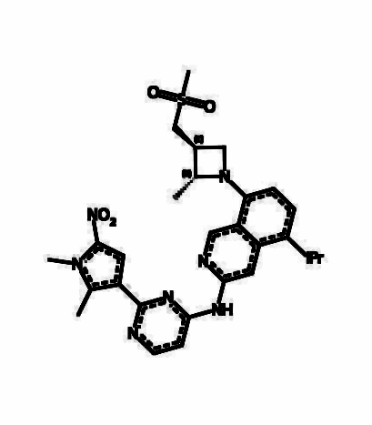 Cc1c(-c2nccc(Nc3cc4c(C(C)C)ccc(N5C[C@H](CS(C)(=O)=O)[C@H]5C)c4cn3)n2)cc([N+](=O)[O-])n1C